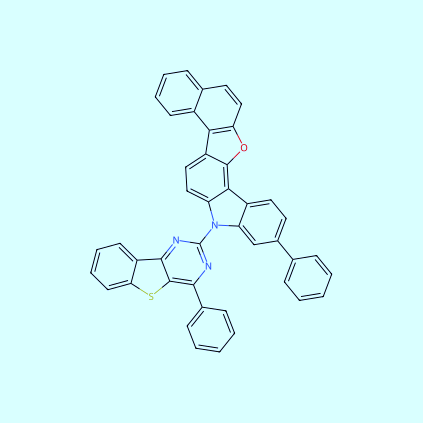 c1ccc(-c2ccc3c4c5oc6ccc7ccccc7c6c5ccc4n(-c4nc(-c5ccccc5)c5sc6ccccc6c5n4)c3c2)cc1